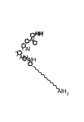 CCCCCCCCCCCCCCCCC[CH2][AlH2].Cc1ccc[c]([AlH2])c1C.Cc1cccc[c]1[Al]([CH3])[CH3].[HH].[HH].c1cc[c]([AlH][c]2ccccc2)cc1.c1cc[c]([Al]([c]2ccccc2)[c]2ccccc2)cc1